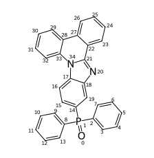 O=P(c1ccccc1)(c1ccccc1)c1ccc2c(c1)nc1c3ccccc3c3ccccc3n21